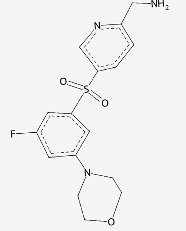 NCc1ccc(S(=O)(=O)c2cc(F)cc(N3CCOCC3)c2)cn1